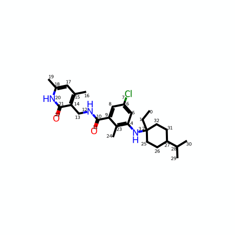 CCC1(Nc2cc(Cl)cc(C(=O)NCc3c(C)cc(C)[nH]c3=O)c2C)CCC(C(C)C)CC1